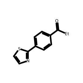 CCC(=O)c1ccc(-c2nccs2)cc1